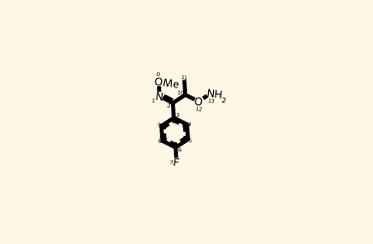 CON=C(c1ccc(F)cc1)C(C)ON